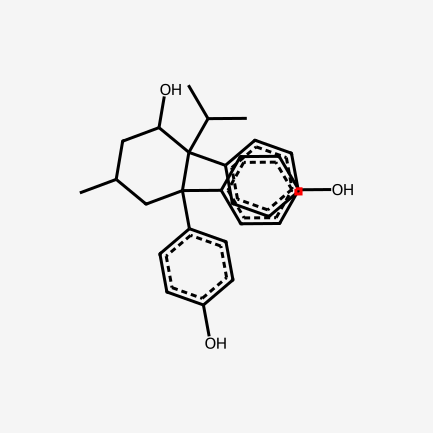 CC1CC(O)C(c2ccccc2)(C(C)C)C(c2ccc(O)cc2)(c2ccc(O)cc2)C1